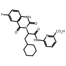 O=C(O)c1cccc(NC(=O)C(CC2CCCCC2)n2c(=O)[nH]c3ccc(F)cc3c2=O)n1